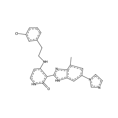 Cc1cc(-n2ccnc2)cc2[nH]c(-c3c(NCCc4cccc(Cl)c4)cc[nH]c3=O)nc12